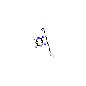 CCCCCCCCCCCCCCCCCCCCCC[n+]1ccccc1.N#CC(C#N)=c1ccc(=C(C#N)C#N)cc1.N#CC(C#N)=c1ccc(=C(C#N)C#N)cc1